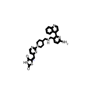 Nc1ccc(CNCC2CCN(c3nccc(/C=C4/SC(=O)NC4=O)n3)CC2)c(-c2ccnc3ccccc23)n1